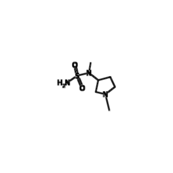 CN1CCC(N(C)S(N)(=O)=O)C1